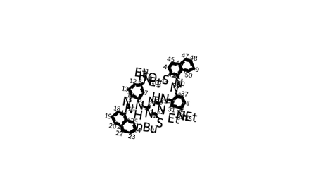 CCCCSc1nc(Nc2cc(N(CC)CC)ccc2/N=N/c2cccc3ccccc23)nc(Nc2cc(N(CC)CC)ccc2/N=N/c2c(S(=O)(=O)O)ccc3ccccc23)n1